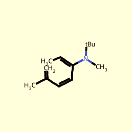 C=C(C)/C=C\C(=C/C)N(C)C(C)(C)C